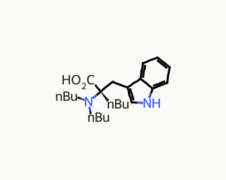 CCCCN(CCCC)[C@@](CCCC)(Cc1c[nH]c2ccccc12)C(=O)O